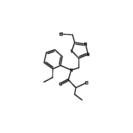 CCc1ccccc1N(Cc1nnc(CCl)s1)C(=O)C(Cl)CC